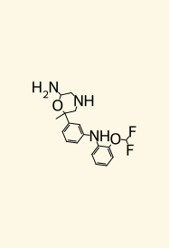 CC1(c2cccc(Nc3ccccc3OC(F)F)c2)CNCC(N)O1